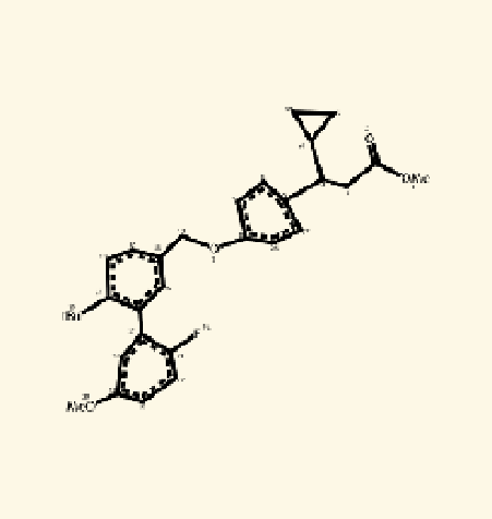 COC(=O)C[C@@H](c1ccc(OCc2ccc(C(C)(C)C)c(-c3cc(OC)ccc3F)c2)cc1)C1CC1